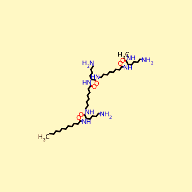 CCCCCCCCCCCC(=O)NC(CCCCN)C(=O)NCCCCCCCC(=O)NC(CCCCN)C(=O)NCCCCCCCC(=O)NC(CCCCN)C(=O)NC